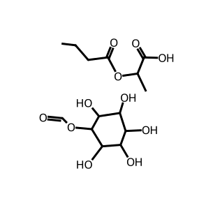 CCCC(=O)OC(C)C(=O)O.O=COC1C(O)C(O)C(O)C(O)C1O